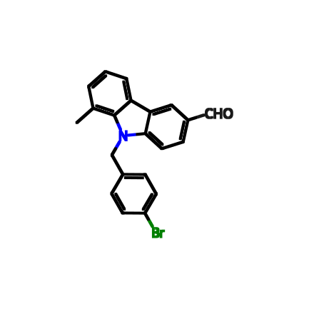 Cc1cccc2c3cc(C=O)ccc3n(Cc3ccc(Br)cc3)c12